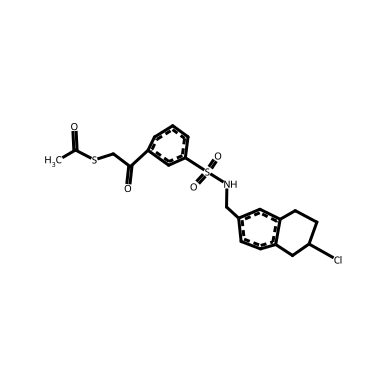 CC(=O)SCC(=O)c1cccc(S(=O)(=O)NCc2ccc3c(c2)CCC(Cl)C3)c1